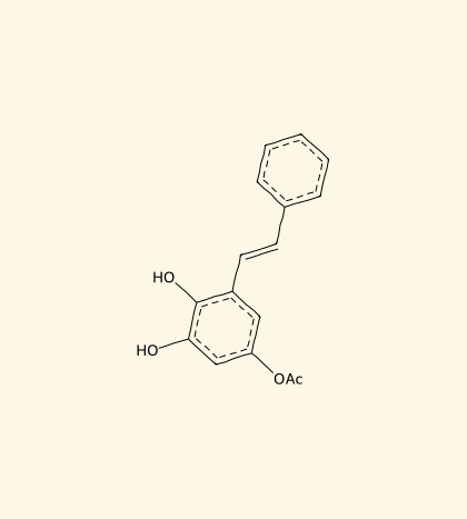 CC(=O)Oc1cc(O)c(O)c(C=Cc2ccccc2)c1